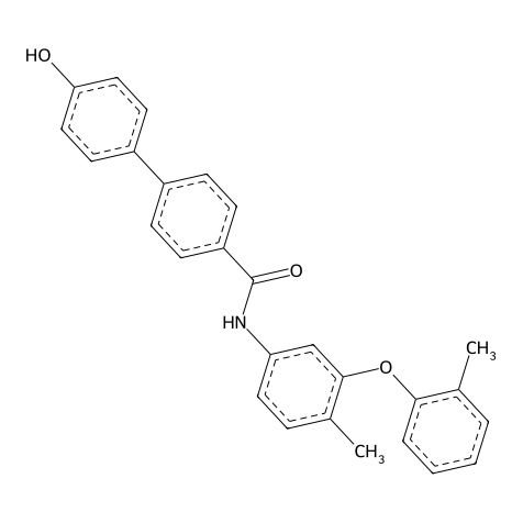 Cc1ccccc1Oc1cc(NC(=O)c2ccc(-c3ccc(O)cc3)cc2)ccc1C